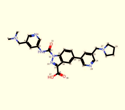 CN(C)Cc1cncc(NC(=O)n2nc(C(=O)O)c3cc(-c4cncc(CN5CCCC5)c4)ccc32)c1